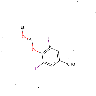 CCOCOc1c(I)cc(C=O)cc1I